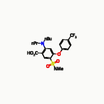 CCCCN(CCC)c1cc(Oc2ccc(C(F)(F)F)cc2)c(S(=O)(=O)NC)cc1C(=O)O